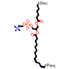 CCCCC/C=C\C/C=C\CCCCCCCC(=O)OC(COC(=O)CCCCCCCCCCCCCCC)COP(=O)([O-])OCC[N+](C)(C)C